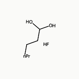 CCCCCC(O)O.F